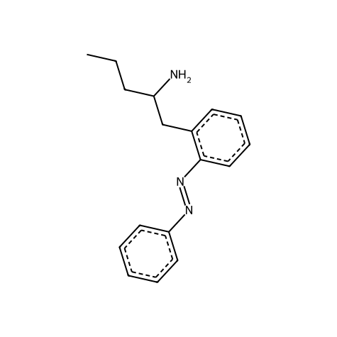 CCCC(N)Cc1ccccc1N=Nc1ccccc1